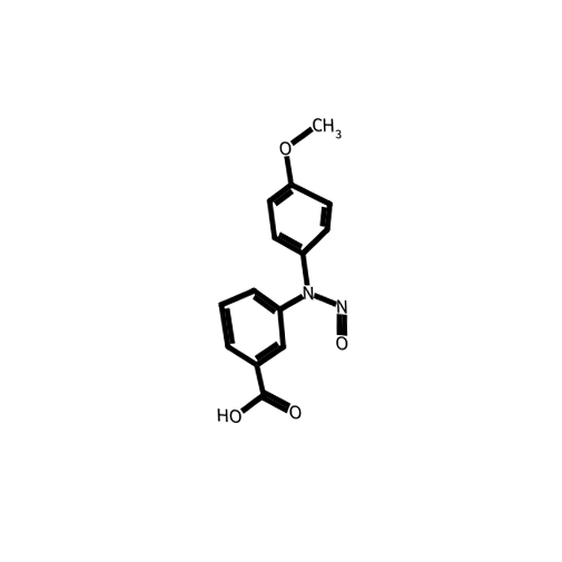 COc1ccc(N(N=O)c2cccc(C(=O)O)c2)cc1